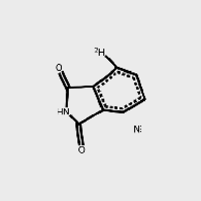 [2H]c1cccc2c1C(=O)NC2=O.[N]